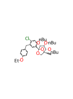 C#C[C@@]12CO[C@@](c3ccc(Cl)c(Cc4ccc(OCC)cc4)c3)(O1)[C@H](OCCCC)[C@@H](OCCCC)[C@@H]2OCCCC